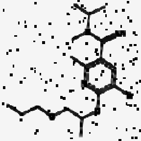 CCCOCC(C)Oc1nc(C)c(C(=N)N(C)C(C)C)cc1Br